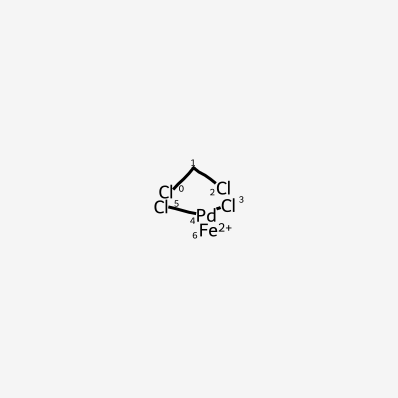 ClCCl.[Cl][Pd][Cl].[Fe+2]